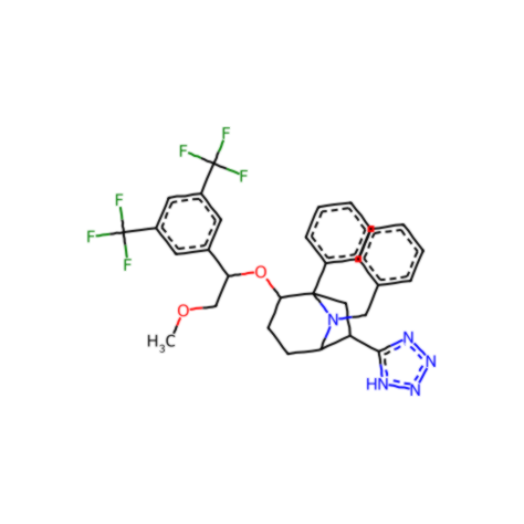 COCC(OC1CCC2C(c3nnn[nH]3)CC1(c1ccccc1)N2Cc1ccccc1)c1cc(C(F)(F)F)cc(C(F)(F)F)c1